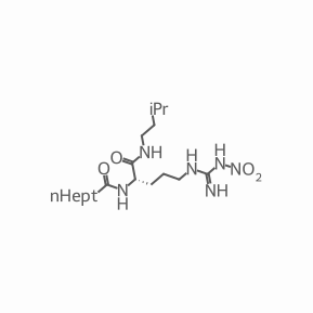 CCCCCCCC(=O)N[C@@H](CCCNC(=N)N[N+](=O)[O-])C(=O)NCCC(C)C